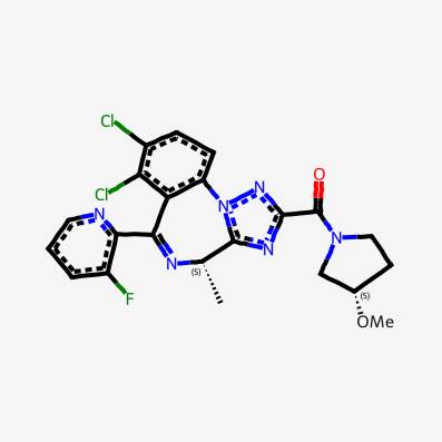 CO[C@H]1CCN(C(=O)c2nc3n(n2)-c2ccc(Cl)c(Cl)c2C(c2ncccc2F)=N[C@H]3C)C1